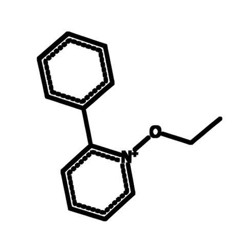 CCO[n+]1ccccc1-c1ccccc1